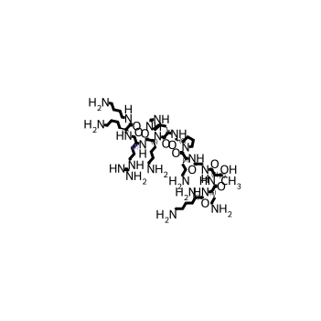 C[C@@H](O)[C@H](NC(=O)[C@H](CCN)NC(=O)[C@@H](N)CCCCN)C(=O)NCC(=O)N[C@H](CCCN)C(=O)N1CCC[C@H]1C(=O)N[C@@H](Cc1cnc[nH]1)C(=O)N[C@@H](CCCCN)C(=O)N/C(=C\CCNC(=N)N)C(=O)N[C@@H](CCCCN)C(=O)NCCCCN